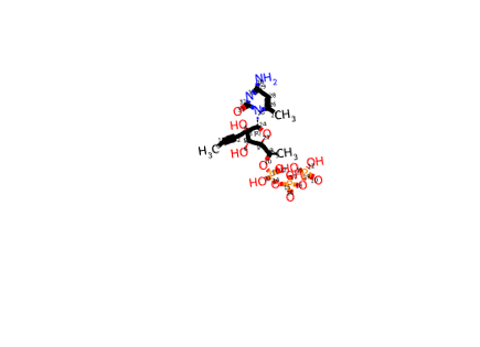 CC#CC1(O)[C@@H](O)[C@@H]([C@@H](C)OP(=O)(O)OP(=O)(O)OP(=O)(O)O)O[C@H]1n1c(C)cc(N)nc1=O